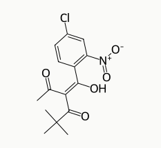 CC(=O)/C(C(=O)C(C)(C)C)=C(/O)c1ccc(Cl)cc1[N+](=O)[O-]